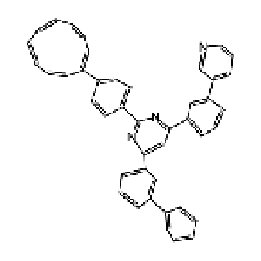 c1ccccc(-c2ccc(-c3nc(-c4cccc(-c5ccccc5)c4)cc(-c4cccc(-c5cccnc5)c4)n3)cc2)cccc1